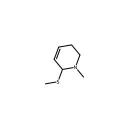 CSC1C=CCCN1C